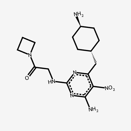 Nc1nc(NCC(=O)N2CCC2)nc(C[C@H]2CC[C@H](N)CC2)c1[N+](=O)[O-]